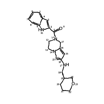 O=C(c1cc2ccccc2[nH]1)N1CCn2nc(NCC3CCCOC3)cc2C1